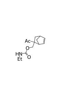 CCNC(=O)OCC1(C(C)=O)CC2C=CC1C2